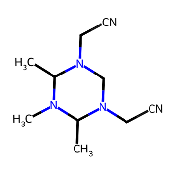 CC1N(CC#N)CN(CC#N)C(C)N1C